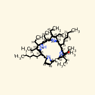 CCCCCc1c2nc(cc3c(CC)c(CC)c(c(CCCCC)c4nc(c(CC)c5[nH]c1c(CC)c5CC)C(CC)=C4CC)n3CC)C=C2